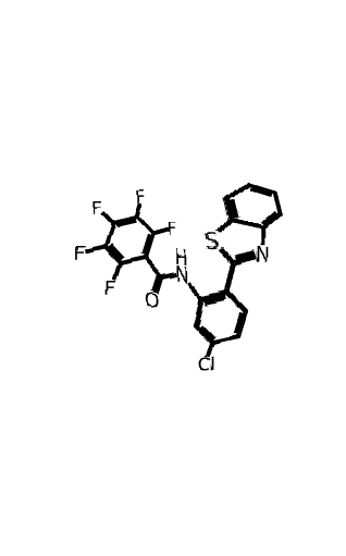 O=C(Nc1cc(Cl)ccc1-c1nc2ccccc2s1)c1c(F)c(F)c(F)c(F)c1F